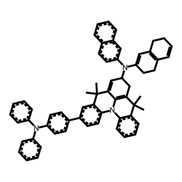 CC1(C)C2=CC(N(C3=CC4=C(C=CCC4)CC3)c3ccc4ccccc4c3)CC3=C2N(c2ccc(-c4ccc(N(c5ccccc5)c5ccccc5)cc4)cc21)c1ccccc1C3(C)C